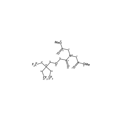 COC(=O)CN(CC(=O)OC)C(=O)COCC(CC(F)(F)F)(CC(F)(F)F)CC(F)(F)F